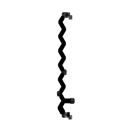 C=CC(=O)OCCOCCCCCCCC